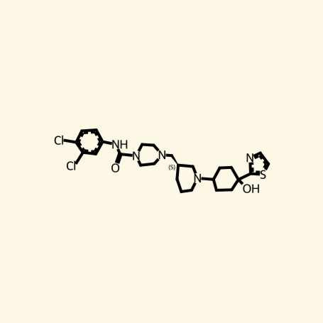 O=C(Nc1ccc(Cl)c(Cl)c1)N1CCN(C[C@@H]2CCCN(C3CCC(O)(c4nccs4)CC3)C2)CC1